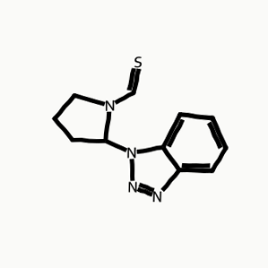 S=CN1CCCC1n1nnc2ccccc21